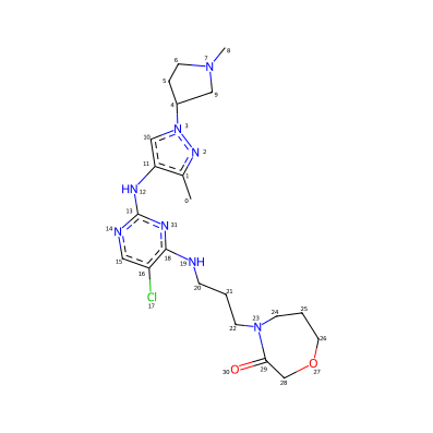 Cc1nn(C2CCN(C)C2)cc1Nc1ncc(Cl)c(NCCCN2CCCOCC2=O)n1